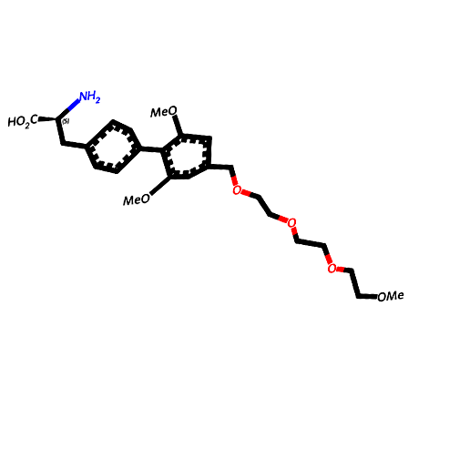 COCCOCCOCCOCc1cc(OC)c(-c2ccc(C[C@H](N)C(=O)O)cc2)c(OC)c1